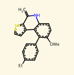 C=C1Nc2ccc(OC)c(-c3ccc(CC)cc3)c2-c2ccsc21